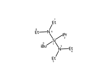 CCC(C)[Si](C(C)C)(N(CC)CC)N(CC)CC